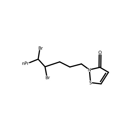 CCCC(Br)C(Br)CCCn1sccc1=O